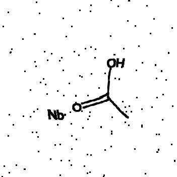 CC(=O)O.[Nb]